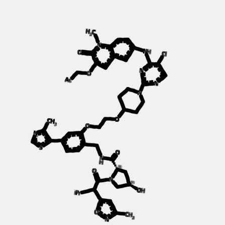 CC(=O)COc1cc2cc(Nc3nc(N4CCC(OCCOc5cc(-c6scnc6C)ccc5CNC(=O)[C@@H]5C[C@@H](O)CN5C(=O)C(c5cc(C)no5)C(C)C)CC4)ncc3Cl)ccc2n(C)c1=O